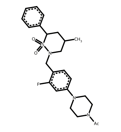 CC(=O)N1CCN(c2ccc(CN3CC(C)CC(c4ccccc4)S3(=O)=O)c(F)c2)CC1